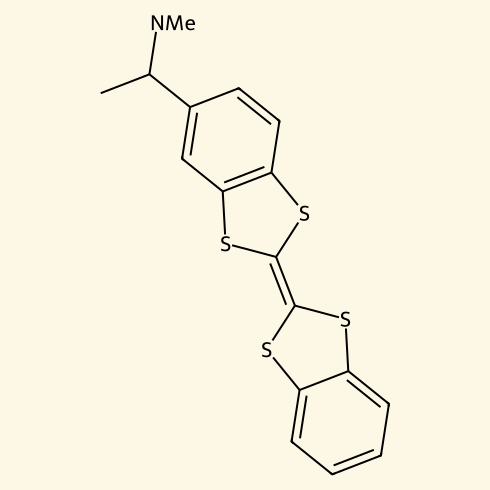 CNC(C)c1ccc2c(c1)SC(=C1Sc3ccccc3S1)S2